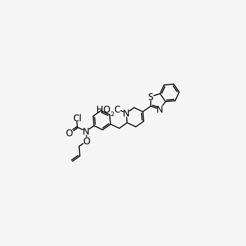 C=CCON(C(=O)Cl)c1cccc(CC2CC=C(c3nc4ccccc4s3)CN2C(=O)O)c1